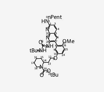 CCCCCNc1ccc2cc(-c3cc(OCCC4CCCCN4C(=O)OC(C)(C)C)ccc3OC)c(NC(=O)NC(C)(C)C)nc2n1